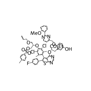 C=CCOC[C@H](COS(=O)(=O)c1ccc(C)cc1)Oc1c(Cl)c(C)c(-c2c(-c3ccc(F)cc3)sc3ncnc(O[C@H](Cc4cc(O)ccc4OCc4ccnc(-c5ccccc5OC)n4)C(=O)OCC)c23)c(C)c1Cl